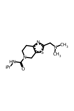 CC(C)NC(=O)N1CCc2nc(CN(C)C)sc2C1